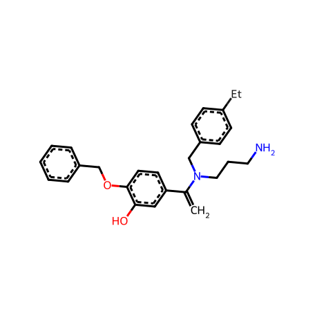 C=C(c1ccc(OCc2ccccc2)c(O)c1)N(CCCN)Cc1ccc(CC)cc1